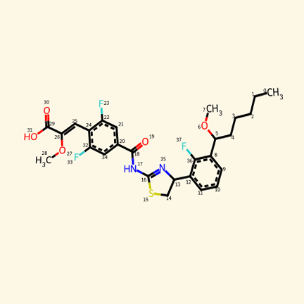 CCCCCC(OC)c1cccc(C2CSC(NC(=O)c3cc(F)c(/C=C(\OC)C(=O)O)c(F)c3)=N2)c1F